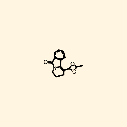 CC1OC(C2=C3c4ccccc4C(=O)N3CCC2)O1